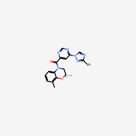 Cc1cccc2c1O[C@@H](C)CN2C(=O)c1cc(-n2cnc(C(C)C)n2)ncn1